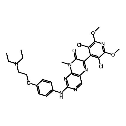 CCN(CC)CCOc1ccc(Nc2ncc3nc(-c4c(Cl)c(OC)nc(OC)c4Cl)c(=O)n(C)c3n2)cc1